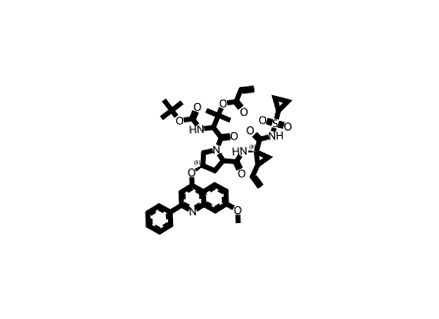 C=CC(=O)OC(C)(C)C(NC(=O)OC(C)(C)C)C(=O)N1C[C@H](Oc2cc(-c3ccccc3)nc3cc(OC)ccc23)CC1C(=O)N[C@]1(C(=O)NS(=O)(=O)C2CC2)CC1C=C